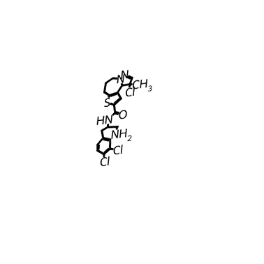 CC1(Cl)C=NN2CCCc3sc(C(=O)NC(CN)Cc4ccc(Cl)c(Cl)c4)cc3C21